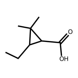 CCC1C(C(=O)O)C1(C)C